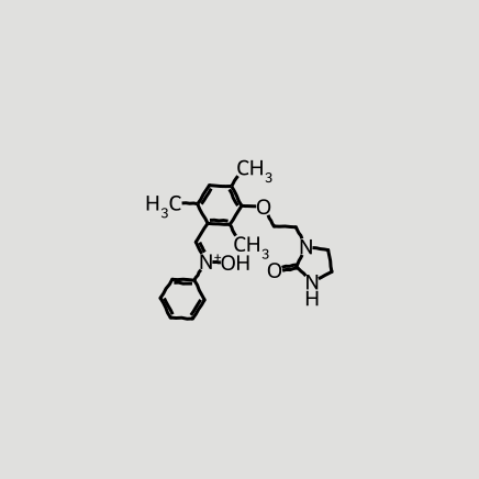 Cc1cc(C)c(OCCN2CCNC2=O)c(C)c1/C=[N+](\O)c1ccccc1